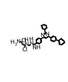 N=C(NCN/C(Cl)=C\C(N)Cl)c1ccc(-c2cc(-c3ccc(-c4ccccc4)cc3)nc(-c3ccccc3)n2)cc1